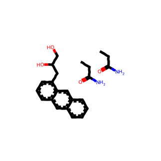 CCC(N)=O.CCC(N)=O.OCC(O)Cc1cccc2cc3ccccc3cc12